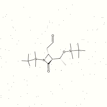 C[C@@H](O[Si](C)(C)C(C)(C)C)[C@H]1C(=O)N([Si](C)(C)C(C)(C)C)[C@@H]1CC=O